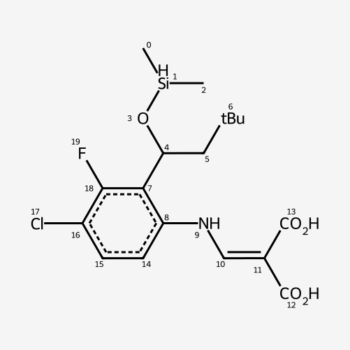 C[SiH](C)OC(CC(C)(C)C)c1c(NC=C(C(=O)O)C(=O)O)ccc(Cl)c1F